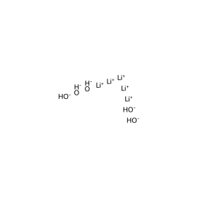 [Li+].[Li+].[Li+].[Li+].[Li+].[OH-].[OH-].[OH-].[OH-].[OH-]